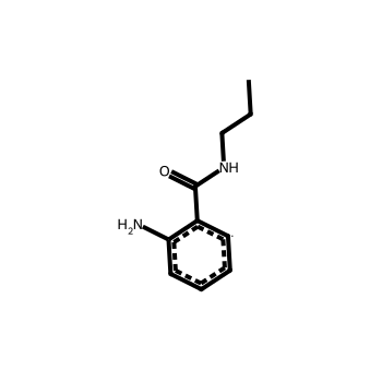 CCCNC(=O)c1[c]cccc1N